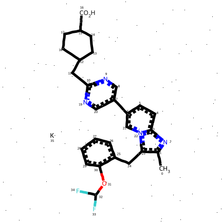 Cc1nc2ccc(-c3cnc(CC4CCC(C(=O)O)CC4)nc3)cn2c1Cc1ccccc1OC(F)F.[K]